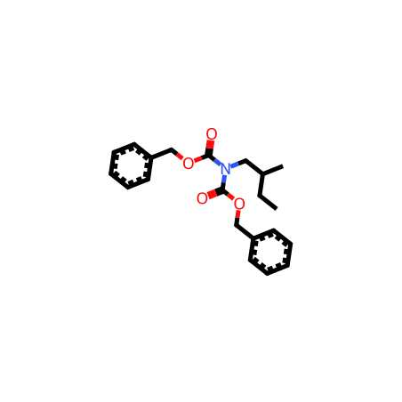 CCC(C)CN(C(=O)OCc1ccccc1)C(=O)OCc1ccccc1